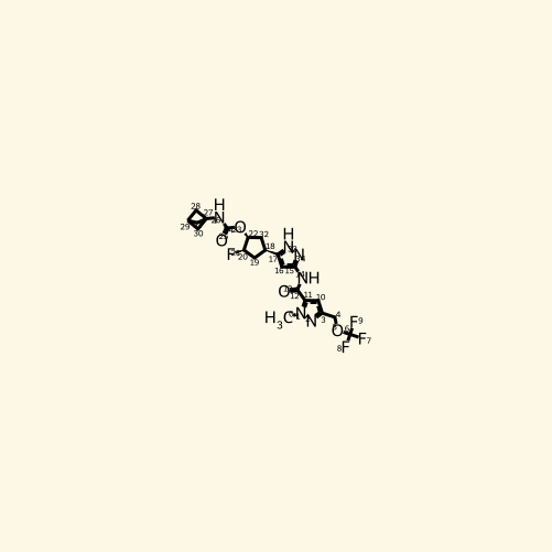 Cn1nc(COC(F)(F)F)cc1C(=O)Nc1cc([C@H]2C[C@@H](F)[C@@H](OC(=O)NC34CC(C3)C4)C2)[nH]n1